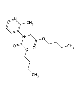 CCCCOC(=O)NN(C(=O)OCCCC)c1cccnc1C